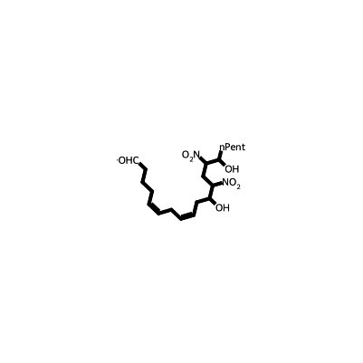 CCCCCC(O)C(CC(C(O)C/C=C\C/C=C\CCC[C]=O)[N+](=O)[O-])[N+](=O)[O-]